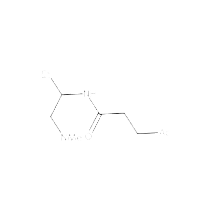 CCC(CNC)NC(=O)CCC(C)=O